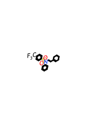 O=S(=O)(c1ccc(C(F)(F)F)cc1)N(CCC1=CCCCC1)c1ccccc1